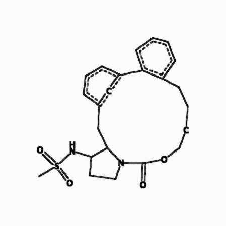 CS(=O)(=O)NC1CCN2C(=O)OCCCCc3ccccc3-c3cccc(c3)CC12